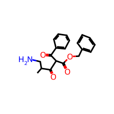 CC(CN)C(=O)C(C(=O)OCc1ccccc1)C(=O)c1ccccc1